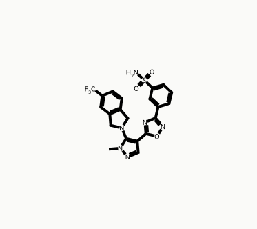 Cn1ncc(-c2nc(-c3cccc(S(N)(=O)=O)c3)no2)c1N1Cc2ccc(C(F)(F)F)cc2C1